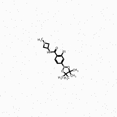 CCc1cc(B2OC(C)(C)C(C)(C)O2)ccc1C(=O)NC1CN(C)C1